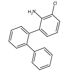 Nc1c(Cl)cccc1-c1ccccc1-c1ccccc1